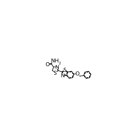 NC(=O)C1CSC(c2nc3ccc(OCc4ccccc4)cc3s2)=N1